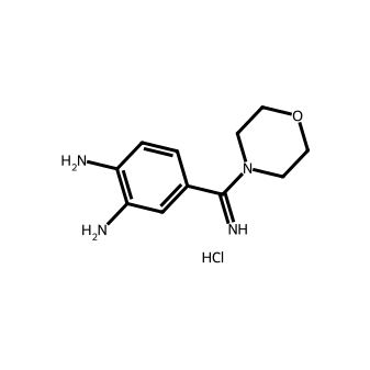 Cl.N=C(c1ccc(N)c(N)c1)N1CCOCC1